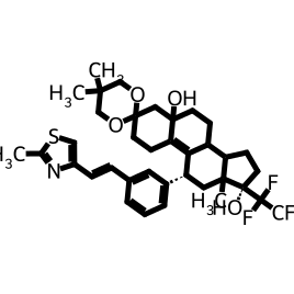 Cc1nc(/C=C/c2cccc([C@H]3CC4(C)C(CC[C@@]4(O)C(F)(F)C(F)(F)F)C4CCC5(O)CC6(CCC5=C43)OCC(C)(C)CO6)c2)cs1